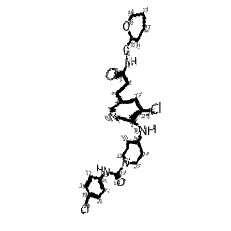 O=C(C=Cc1cnc(NC2CCN(C(=O)Nc3ccc(Cl)cc3)CC2)c(Cl)c1)NOC1CCCCO1